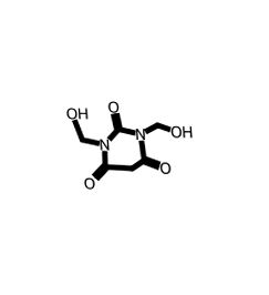 O=C1CC(=O)N(CO)C(=O)N1CO